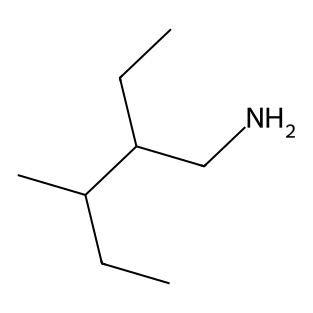 CCC(C)C(CC)CN